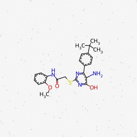 COc1ccccc1NC(=O)CSc1nc(O)c(N)c(-c2ccc(C(C)(C)C)cc2)n1